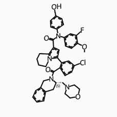 COc1ccc(N(C(=O)c2cc(-c3cc(Cl)ccc3C(=O)N3Cc4ccccc4C[C@H]3CN3CCOCC3)n3c2CCCC3)c2ccc(O)cc2)cc1F